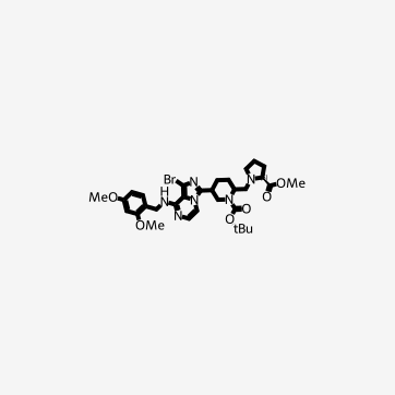 COC(=O)[C@@H]1CCCN1CC1CCC(c2nc(Br)c3c(NCc4ccc(OC)cc4OC)nccn23)CN1C(=O)OC(C)(C)C